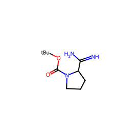 CC(C)(C)OC(=O)N1CCCC1C(=N)N